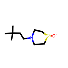 CC(C)(C)CCN1CC[S+]([O-])CC1